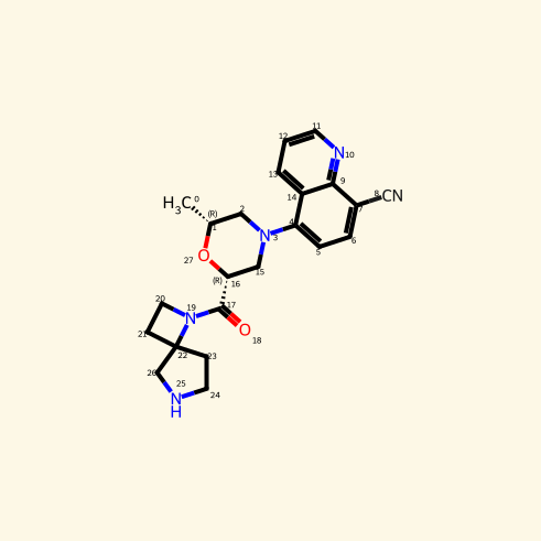 C[C@@H]1CN(c2ccc(C#N)c3ncccc23)C[C@H](C(=O)N2CCC23CCNC3)O1